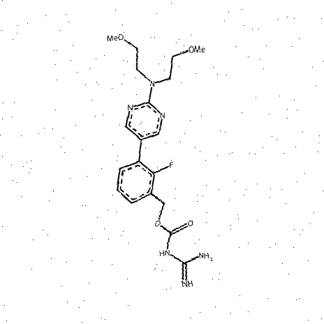 COCCN(CCOC)c1ncc(-c2cccc(COC(=O)NC(=N)N)c2F)cn1